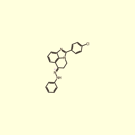 Clc1ccc(-c2nc3cccc4c3n2CC/C4=N\Nc2ccccc2)cc1